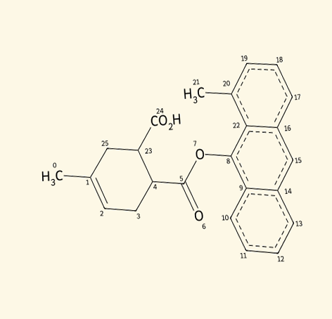 CC1=CCC(C(=O)Oc2c3ccccc3cc3cccc(C)c23)C(C(=O)O)C1